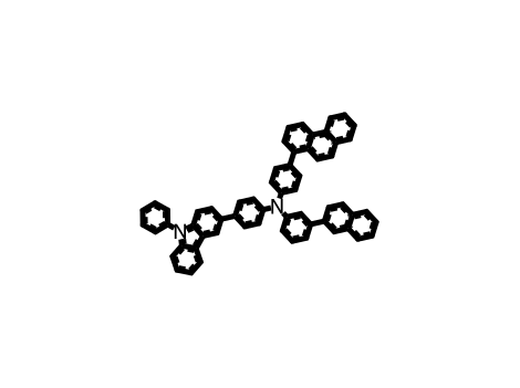 c1ccc(-n2c3ccccc3c3cc(-c4ccc(N(c5ccc(-c6cccc7c6ccc6ccccc67)cc5)c5cccc(-c6ccc7ccccc7c6)c5)cc4)ccc32)cc1